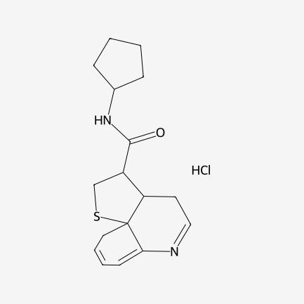 Cl.O=C(NC1CCCC1)C1CSC23CC=CC=C2N=CCC13